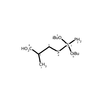 CC(C)COS(P)(OCC(C)C)SCC(C)C(=O)O